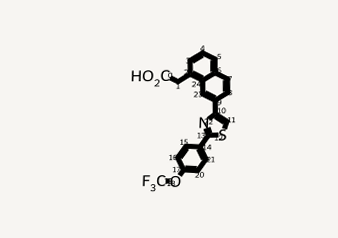 O=C(O)Cc1cccc2ccc(-c3csc(-c4ccc(OC(F)(F)F)cc4)n3)cc12